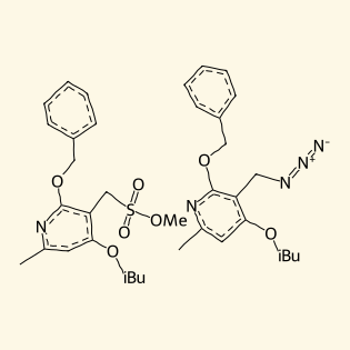 CCC(C)Oc1cc(C)nc(OCc2ccccc2)c1CN=[N+]=[N-].CCC(C)Oc1cc(C)nc(OCc2ccccc2)c1CS(=O)(=O)OC